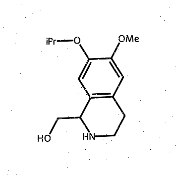 COc1cc2c(cc1OC(C)C)C(CO)NCC2